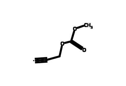 [C]#CCOC(=O)OC